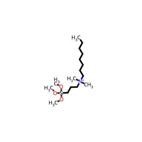 CCCCCCCC[N+](C)(C)CCC[Si](OC)(OC)OC